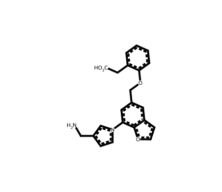 NCc1ccn(-c2cc(COc3ccccc3CC(=O)O)cc3ccoc23)c1